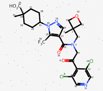 CC1(CN(CC(=O)c2c(Cl)cncc2Cl)C(=O)c2cnn(C3CCC(C)(C(=O)O)CC3)c2C(F)(F)F)COC1